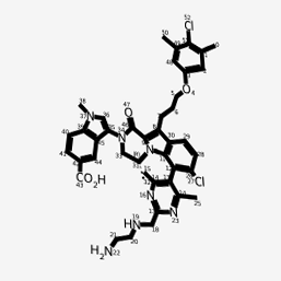 Cc1cc(OCCCc2c3n(c4c(-c5c(C)nc(CNCCN)nc5C)c(Cl)ccc24)[C@H](C)CN(c2cn(C)c4ccc(C(=O)O)cc24)C3=O)cc(C)c1Cl